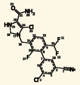 N#Cc1cc(Cl)cc(-c2c(C(F)F)ccc(CN3CNC(C(N)=O)=C3Cl)c2F)c1